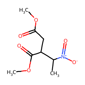 COC(=O)CC(C(=O)OC)C(C)[N+](=O)[O-]